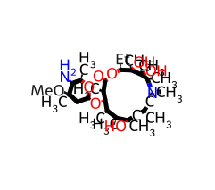 CC[C@H]1OC(=O)[C@H](C)[C@@H](O[C@H]2C[C@@](C)(OC)[C@@H](N)[C@H](C)O2)[C@H](C)[C@@H](C)[C@](C)(O)C[C@@H](C)CN(C)[C@H](C)C(C)(O)[C@]1(C)O